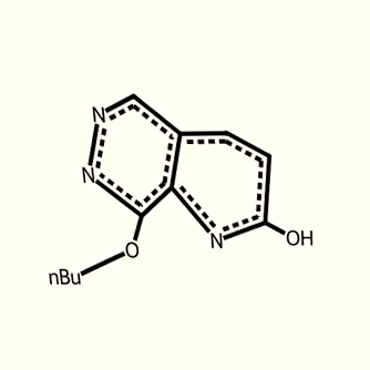 CCCCOc1nncc2ccc(O)nc12